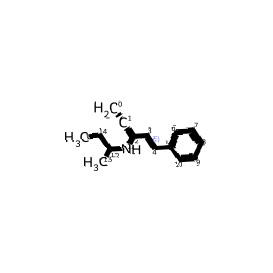 C=C=C(/C=C/c1ccccc1)NC(C)CC